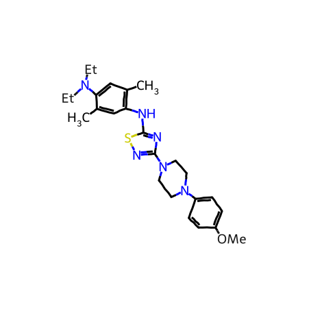 CCN(CC)c1cc(C)c(Nc2nc(N3CCN(c4ccc(OC)cc4)CC3)ns2)cc1C